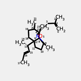 C=C(C)C[C@H]1ON(C)[C@@]23CCCC2([C@@H](C)/C=C/C)CCC(C)C13C